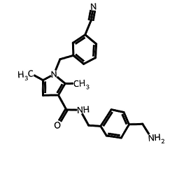 Cc1cc(C(=O)NCc2ccc(CN)cc2)c(C)n1Cc1cccc(C#N)c1